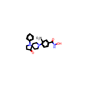 O=C(NO)c1ccc(N2CCC3(CC2)C(=O)CCN3c2ccccc2)c([N+](=O)[O-])c1